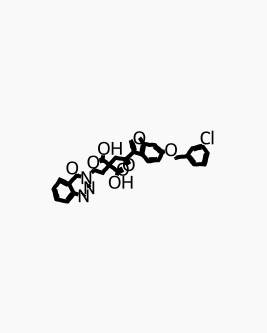 O=C(CC(CCn1nnc2ccccc2c1=O)(C(=O)O)C(=O)O)c1coc2cc(OCc3cccc(Cl)c3)ccc12